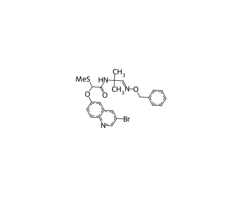 CSC(Oc1ccc2ncc(Br)cc2c1)C(=O)NC(C)(C)C=NOCc1ccccc1